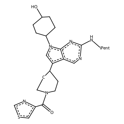 CCCC(C)Nc1ncc2c(C3CCN(C(=O)c4cscn4)CC3)cn(C3CCC(O)CC3)c2n1